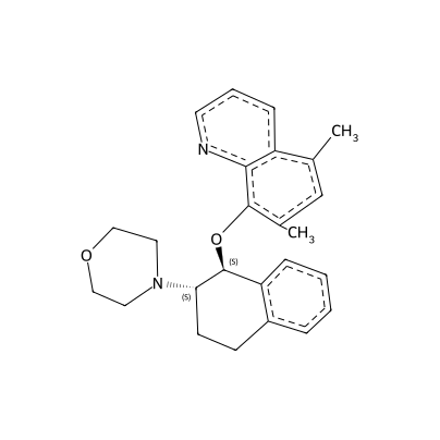 Cc1cc(C)c2cccnc2c1O[C@H]1c2ccccc2CC[C@@H]1N1CCOCC1